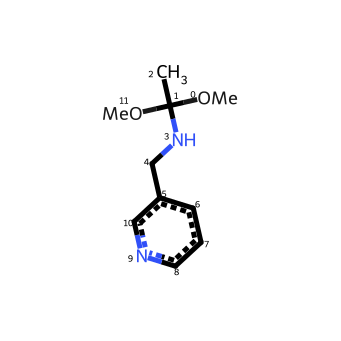 COC(C)(NCc1cccnc1)OC